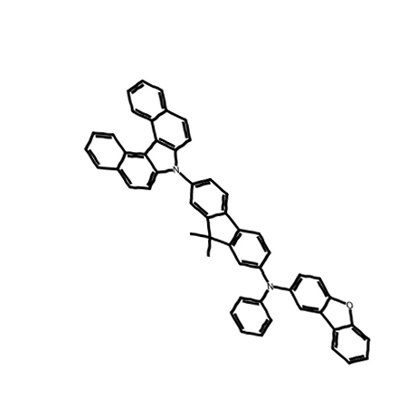 CC1(C)c2cc(N(c3ccccc3)c3ccc4oc5ccccc5c4c3)ccc2-c2ccc(-n3c4ccc5ccccc5c4c4c5ccccc5ccc43)cc21